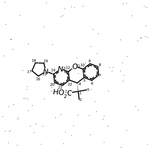 CC(C)(C(=O)O)[C@H]1c2ccccc2Oc2nc(N3CCCC3)ccc21